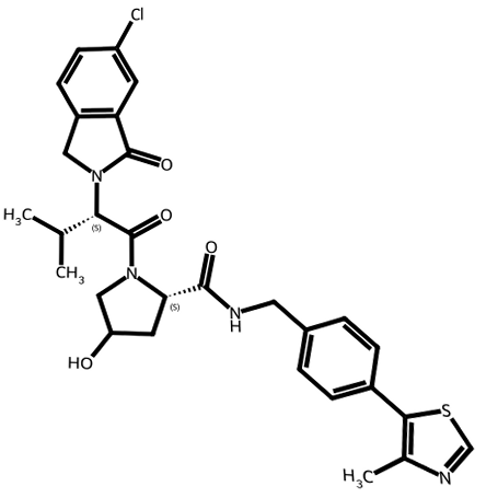 Cc1ncsc1-c1ccc(CNC(=O)[C@@H]2CC(O)CN2C(=O)[C@H](C(C)C)N2Cc3ccc(Cl)cc3C2=O)cc1